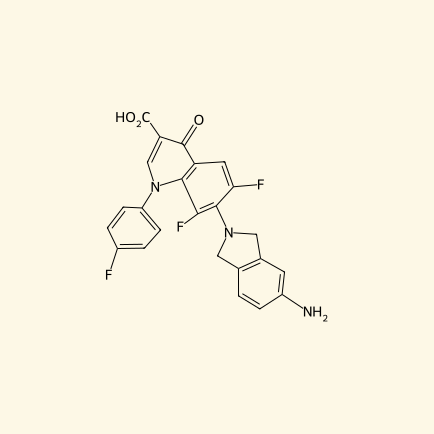 Nc1ccc2c(c1)CN(c1c(F)cc3c(=O)c(C(=O)O)cn(-c4ccc(F)cc4)c3c1F)C2